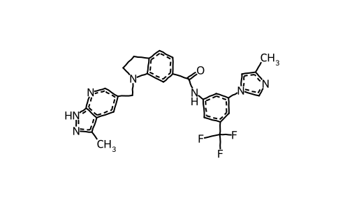 Cc1cn(-c2cc(NC(=O)c3ccc4c(c3)N(Cc3cnc5[nH]nc(C)c5c3)CC4)cc(C(F)(F)F)c2)cn1